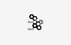 COc1ccc(C(c2nnnn2C2CCCCC2)N2CCc3ccccc3C2)c(OC)c1